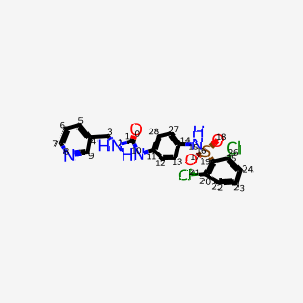 O=C(NCc1cccnc1)Nc1ccc(NS(=O)(=O)c2c(Cl)cccc2Cl)cc1